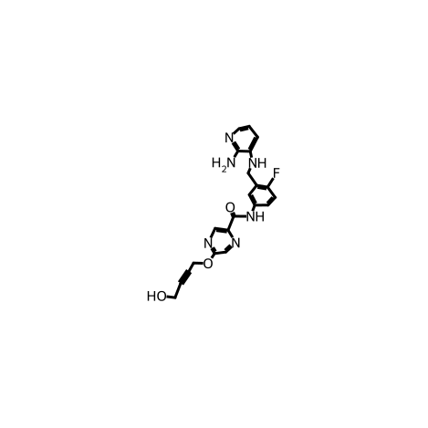 Nc1ncccc1NCc1cc(NC(=O)c2cnc(OCC#CCO)cn2)ccc1F